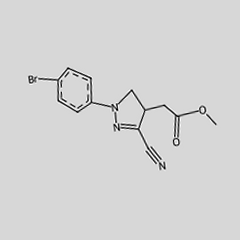 COC(=O)CC1CN(c2ccc(Br)cc2)N=C1C#N